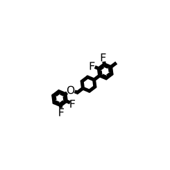 Cc1ccc(C2CCC(COc3cccc(F)c3F)CC2)c(F)c1F